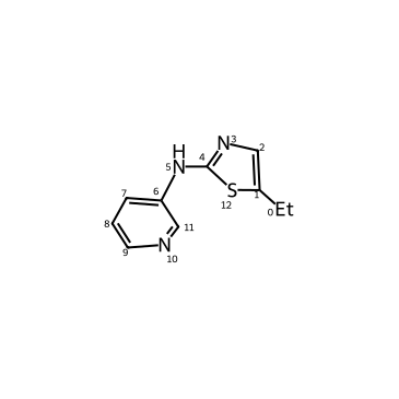 CCc1cnc(Nc2cccnc2)s1